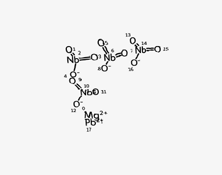 [Mg+2].[O]=[Nb](=[O])[O-].[O]=[Nb](=[O])[O-].[O]=[Nb](=[O])[O-].[O]=[Nb](=[O])[O-].[Pb+2]